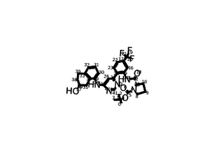 CC(C)(C)OC(=O)N1CCC[C@H]1C(=O)Nc1cc(C(F)(F)F)ccc1-c1cc(Nc2cccc3c2C[C@@H](O)CC3)ncn1